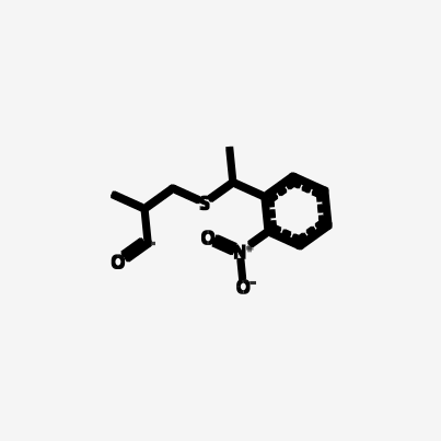 CC([C]=O)CSC(C)c1ccccc1[N+](=O)[O-]